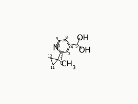 CC1(c2cc(C(O)O)ccn2)CC1